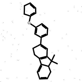 CC1(C)C2=C(CCC(c3cccc(OC4=CC=CCC4)c3)=C2)C2=CC=CCC21